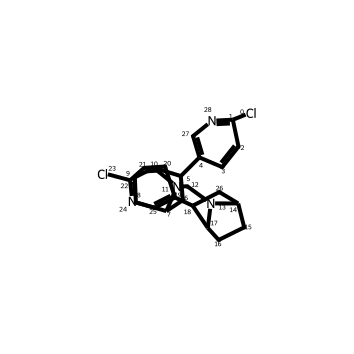 Clc1ccc(C2CC3CCC2N3CN2C3CCC2C(c2ccc(Cl)nc2)C3)cn1